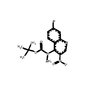 CC(C)(C)OC(=O)N(N)c1c([N+](=O)[O-])cnc2cc(Br)ccc12